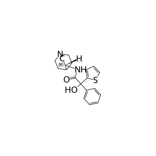 O=C(N[C@H]1CN2CCC1CC2)C(O)(c1ccccc1)c1cccs1